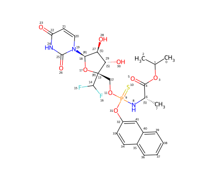 CC(C)OC(=O)[C@H](C)NP(=S)(OC[C@@]1(C(F)F)O[C@@H](n2ccc(=O)[nH]c2=O)[C@@H](O)[C@@H]1O)Oc1ccc2ccccc2c1